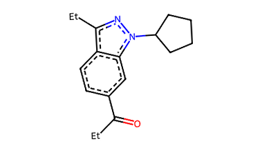 CCC(=O)c1ccc2c(CC)nn(C3CCCC3)c2c1